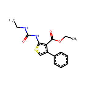 CCNC(=O)Nc1scc(-c2ccccc2)c1C(=O)OCC